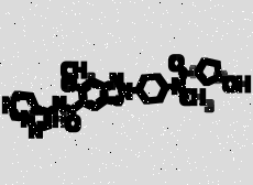 COc1cc2nn(C3CCC(N(C)C(=O)[C@@H]4CC[C@@H](O)C4)CC3)cc2cc1C(=O)Nc1cnn2cnccc12